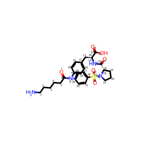 NCCCCCC(=O)Nc1ccc(C[C@H](NC(=O)[C@@H]2CCCN2S(=O)(=O)c2ccccc2)C(=O)O)cc1